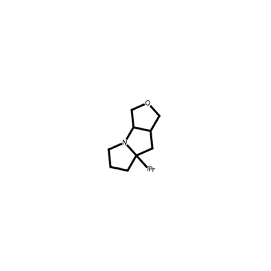 CC(C)C12CCCN1C1COCC1C2